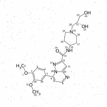 COc1ccc(-c2ccnc3cc(C(=O)NC4CCN(C[C@@H](O)CO)CC4)nn23)cc1OC